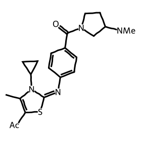 CNC1CCN(C(=O)c2ccc(N=c3sc(C(C)=O)c(C)n3C3CC3)cc2)C1